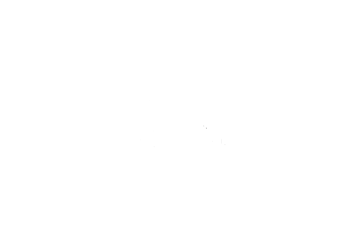 CN(CCC(Oc1ccc(S)cc1)C1CC1)Cc1ccccc1